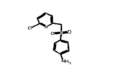 Nc1ccc(S(=O)(=O)Cc2cccc(Cl)n2)cc1